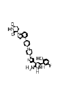 NC1=C(c2cnn(C3CCN([C@H]4CC[C@H](c5cccc6c5CCN6[C@@H]5CCC(=O)NC5=O)CC4)CC3)c2)C=C(c2cc(F)ccc2O)NN1